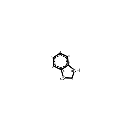 [c]1cccc2c1SCN2